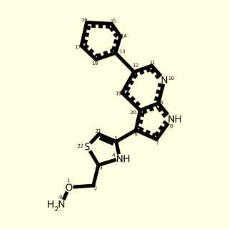 NOCC1NC(c2c[nH]c3ncc(-c4ccccc4)cc23)=CS1